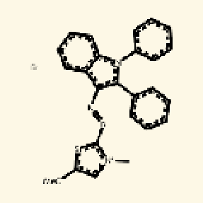 COc1c[n+](C)c(N=Nc2c(-c3ccccc3)n(-c3ccccc3)c3ccccc23)s1.[Br-]